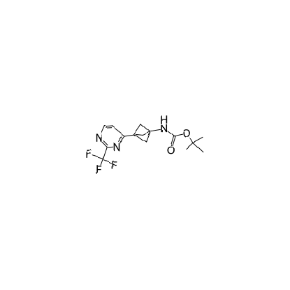 CC(C)(C)OC(=O)NC12CC(c3ccnc(C(F)(F)F)n3)(C1)C2